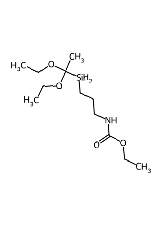 CCOC(=O)NCCC[SiH2]C(C)(OCC)OCC